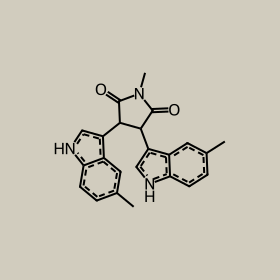 Cc1ccc2[nH]cc(C3C(=O)N(C)C(=O)C3c3c[nH]c4ccc(C)cc34)c2c1